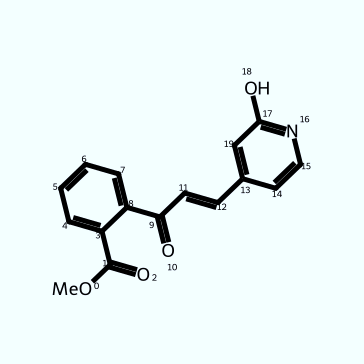 COC(=O)c1ccccc1C(=O)/C=C/c1ccnc(O)c1